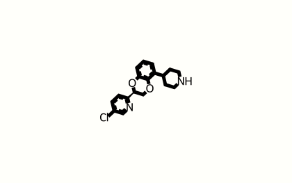 Clc1ccc([C@@H]2COc3c(cccc3C3CCNCC3)O2)nc1